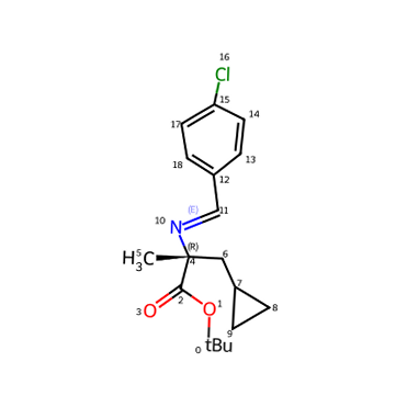 CC(C)(C)OC(=O)[C@@](C)(CC1CC1)/N=C/c1ccc(Cl)cc1